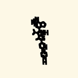 Cc1c(-c2ccc(N3CCNCC3)nc2)sc2[nH]c(-c3cn4ncnc4c4c3CCC4)c(C(C)C)c12